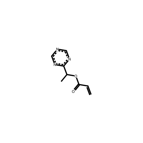 C=CC(=O)OC(C)c1ncncn1